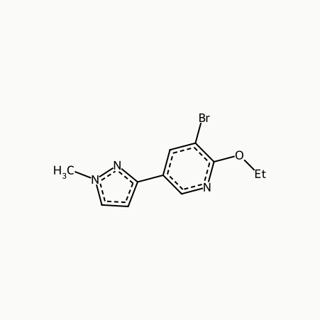 CCOc1ncc(-c2ccn(C)n2)cc1Br